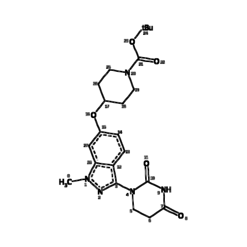 Cn1nc(N2CCC(=O)NC2=O)c2ccc(OC3CCN(C(=O)OC(C)(C)C)CC3)cc21